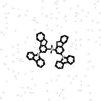 C[Si](C)(c1cc(-n2c3ccccc3c3ccccc32)cc2c1Cc1ccccc1-2)c1cc(-n2c3ccccc3c3ccccc32)cc2c1Cc1ccccc1-2